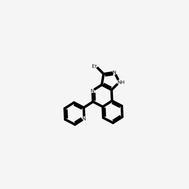 CCc1n[nH]c2c1nc(-c1ccccn1)c1ccccc12